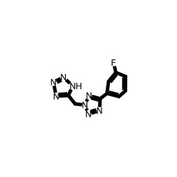 Fc1cccc(-c2nnn(Cc3nnn[nH]3)n2)c1